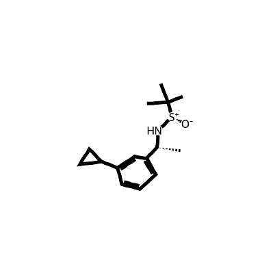 C[C@@H](N[S@@+]([O-])C(C)(C)C)c1cccc(C2CC2)c1